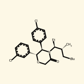 CC[C@@H]([C@H](C)CC(C)(C)C)N1C(=O)CO[C@H](c2cccc(Cl)c2)[C@H]1c1ccc(Cl)cc1